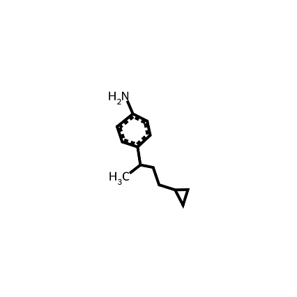 CC(CCC1CC1)c1ccc(N)cc1